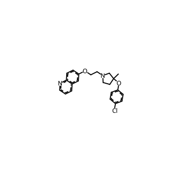 CC1(Oc2ccc(Cl)cc2)CCN(CCOc2ccc3ncccc3c2)C1